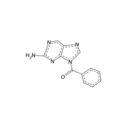 Nc1ncc2ncn(C(=O)c3ccccc3)c2n1